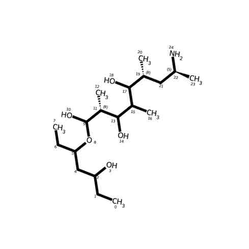 CCC(O)CC(CC)OC(O)[C@H](C)C(O)C(C)C(O)[C@H](C)C[C@H](C)N